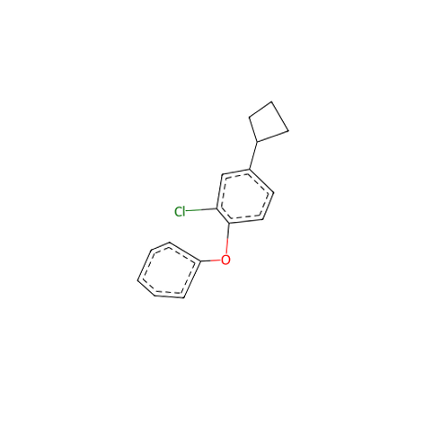 Clc1cc(C2CCC2)ccc1Oc1ccccc1